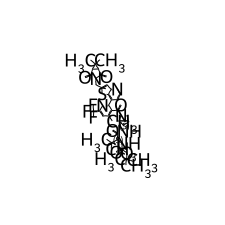 Cc1cc(C(F)(F)F)nc(-c2ccnc3cc(CN4C(=O)C5C(C4=O)C5(C)C)sc23)c1C(=O)N1CC[C@H](NC(=O)[C@@H](NC(=O)OC(C)(C)C)C(C)C)C1